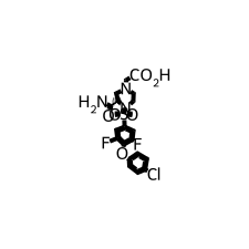 NC(=O)[C@H]1CN(CC(=O)O)CCN1S(=O)(=O)c1cc(F)c(Oc2ccc(Cl)cc2)c(F)c1